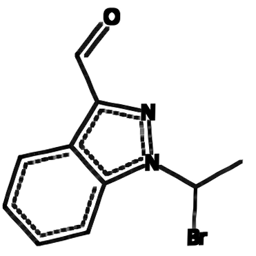 CC(Br)n1nc(C=O)c2ccccc21